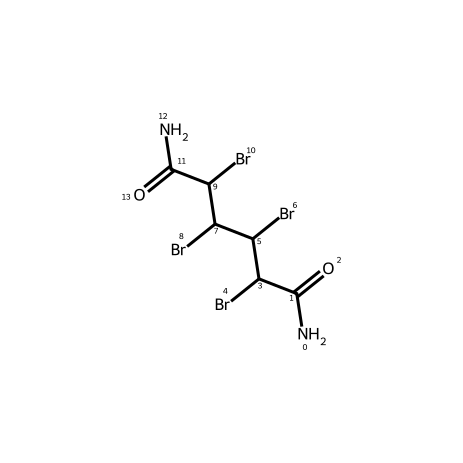 NC(=O)C(Br)C(Br)C(Br)C(Br)C(N)=O